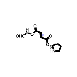 O=CNOC(=O)/C=C/C(=O)O[C@H]1NCCS1